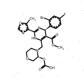 COC(=O)C1=C(CN2CCOC[C@@H]2OC(=O)O)NC(c2ncoc2C)=N[C@H]1c1ccc(F)cc1Br